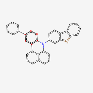 c1ccc(-c2ccc(N(c3ccc4c(c3)sc3ccccc34)c3cccc4cccc(-c5ccccc5)c34)cc2)cc1